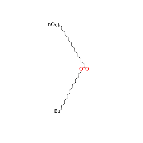 CCCCCCCCC=CCCCCCCCCCCCCCC(=O)OCCCCCCCCCCCCCCCC(C)CC